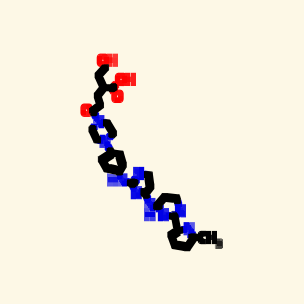 Cc1cccc(-c2nccc(Nc3ccnc(Nc4ccc(N5CCN(C(=O)CCC(CCO)C(=O)O)CC5)cc4)n3)n2)n1